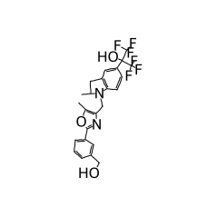 Cc1oc(-c2cccc(CO)c2)nc1CN1c2ccc(C(O)(C(F)(F)F)C(F)(F)F)cc2CC1C